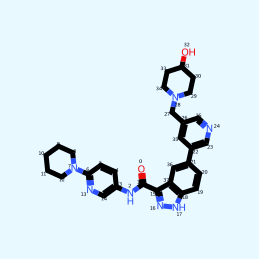 O=C(Nc1ccc(N2CCCCC2)nc1)c1n[nH]c2ccc(-c3cncc(CN4CCC(O)CC4)c3)cc12